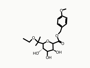 CCOC(C)(C)C1OC(C(=O)OCc2ccc(OC)cc2)[C@@H](O)C(O)[C@@H]1O